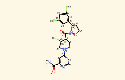 NC(=O)c1cc(N2CC[C@H](C(=O)N3OCC[C@@H]3c3cc(F)cc(F)c3)[C@H](F)C2)ncn1